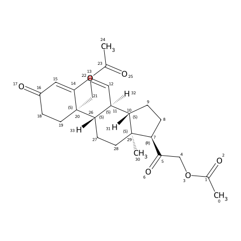 CC(=O)OCC(=O)[C@@H]1CC[C@H]2[C@@H]3C=CC4=CC(=O)CC[C@]4(COC(C)=O)[C@H]3CC[C@]12C